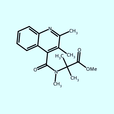 COC(=O)C(C)(C)N(C)C(=O)c1c(C)c(C)nc2ccccc12